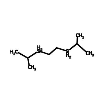 CC(C)[SiH2]CC[SiH2]C(C)C